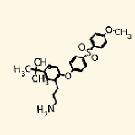 COc1ccc(S(=O)(=O)c2ccc(Oc3ccc(C(C)(C)C)cc3CCCN)cc2)cc1